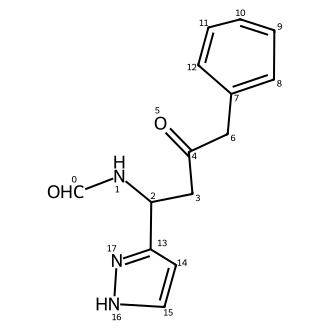 O=CNC(CC(=O)Cc1ccccc1)c1cc[nH]n1